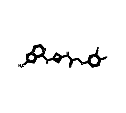 Cc1cc2c(NC34CC(NC(=O)COc5ccc(F)c(F)c5)(C3)C4)nccn2n1